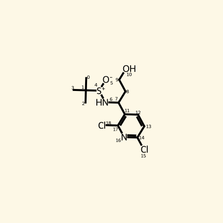 CC(C)(C)[S+]([O-])NC(CCO)c1ccc(Cl)nc1Cl